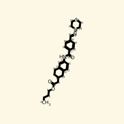 CCCCOC(=O)CC1CCc2cc(NC(=O)c3ccc(C=NN4CCSCC4)cc3)ccc2C1